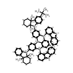 Cc1cc2c3c(c1)N(c1cccc4sc5ccccc5c14)c1cc(N4c5ccc(C(C)(C)C)cc5C5(C)CCCCC45C)ccc1B3c1ccc(N3c4ccccc4C4(C)CCCCC34C)cc1N2c1cccc2sc3ccccc3c12